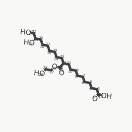 O=C(O)CCCCCCCCCC(CCCCCCCC(O)CO)C(=O)OCCO